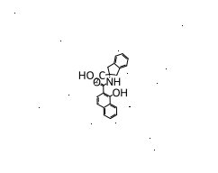 O=C(NC1(C(=O)O)Cc2ccccc2C1)c1ccc2ccccc2c1O